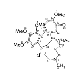 CN(CCCl)CCCl.COc1cc2c(c(OC)c1OC)-c1ccc(OC)c(=O)cc1[C@@H](NC(C)=O)CC2